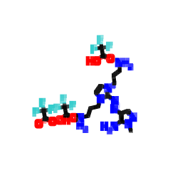 Cn1ncc(/N=N/c2n(CCCN)cc[n+]2CCCN)c1N.O=C(O)C(F)(F)F.O=C(O)C(F)(F)F.O=C([O-])C(F)(F)F